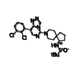 CC(C)(C)[S+]([O-])N[C@@H]1CCCC12CCN(c1ncc(-c3cccc(Cl)c3Cl)c3nncn13)CC2